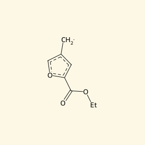 [CH2]c1coc(C(=O)OCC)c1